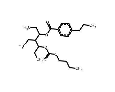 CCCCOC(=O)OC(CC)C(CC)C(CC)OC(=O)c1ccc(CCC)cc1